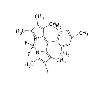 CC1=C(C)C(C)=[N+]2C1=C(c1c(C)cc(C)cc1C)c1c(C)c(I)c(C)n1[B-]2(F)F